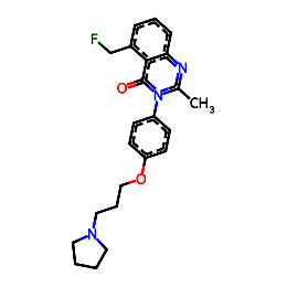 Cc1nc2cccc(CF)c2c(=O)n1-c1ccc(OCCCN2CCCC2)cc1